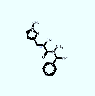 CCCC(c1ccccc1)N(C)C(=O)/C(C#N)=C/c1ccn(C)n1